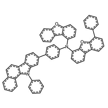 c1ccc(-c2cccc3c2oc2c(N(c4ccc(-c5ccc6c7ccc8ccccc8c7n(-c7ccccc7)c6c5)cc4)c4cccc5oc6ccccc6c45)cccc23)cc1